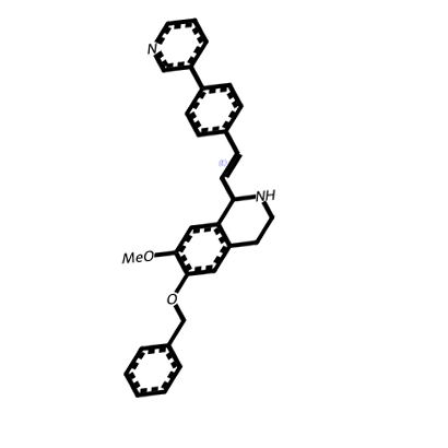 COc1cc2c(cc1OCc1ccccc1)CCNC2/C=C/c1ccc(-c2cccnc2)cc1